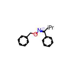 CC(C)/C(=N/OCc1ccccc1)c1ccccc1